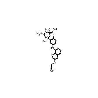 C#CCOc1cnc2c(Nc3ccc(F)c([C@]4(CF)C[C@](C)(CO)SC(N)=N4)c3)nccc2c1